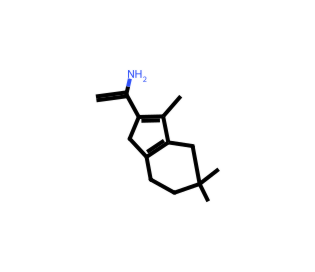 C=C(N)C1=C(C)C2=C(CCC(C)(C)C2)C1